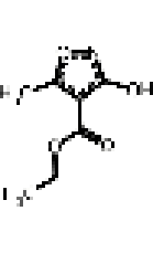 CCOC(=O)c1c(O)noc1C